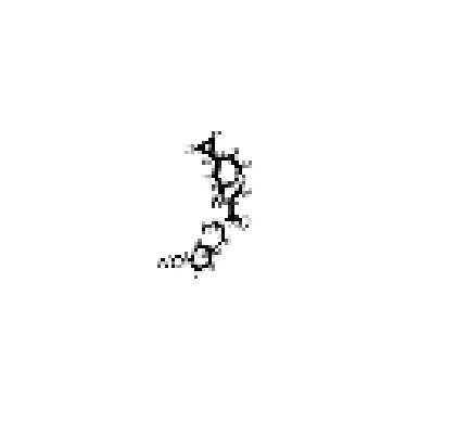 N#CN1CC[C@H](CNC(=O)c2cn3ccc(C4CC4)cc3n2)C1